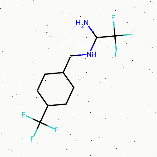 NC(NCC1CCC(C(F)(F)F)CC1)C(F)(F)F